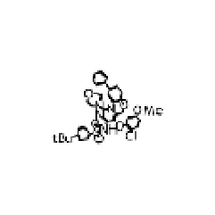 COc1ccc(Cl)c(Oc2c(COc3ccc(-c4ccccc4)cc3)nc(N3CCOCC3)nc2NS(=O)(=O)c2ccc(C(C)(C)C)cc2)c1